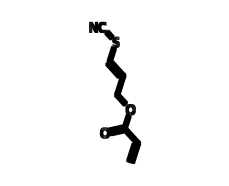 C=CC(=O)OCC=CSC#N